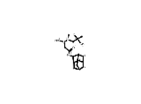 CCCN(CC(=O)NC1C2CC3CC(C2)CC1C3)N(C)CC(C)(C)CCC